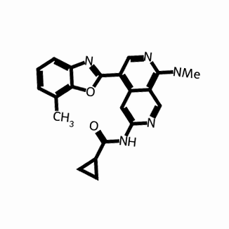 CNc1ncc(-c2nc3cccc(C)c3o2)c2cc(NC(=O)C3CC3)ncc12